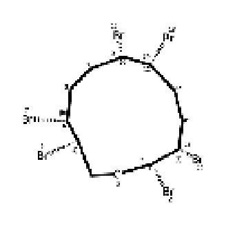 Br[C@@H]1CC[C@H](Br)[C@H](Br)CC[C@H](Br)[C@H](Br)CC[C@@H]1Br